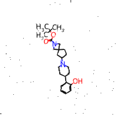 CC(C)(C)OC(=O)N1CC2(CCC(N3CCC(c4ccccc4O)CC3)C2)C1